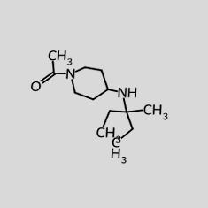 CCC(C)(CC)NC1CCN(C(C)=O)CC1